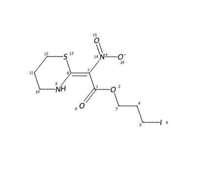 O=C(OCCCI)C(=C1NCCCS1)[N+](=O)[O-]